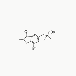 CCCCC(C)(C)Cc1cc(Br)c2c(c1)C(=O)C(C)C2